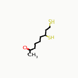 CC(=O)CCCCC(S)CCS